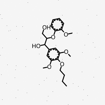 CCCCOc1c(OC)cc(C(O)C(CO)Oc2ccccc2OC)cc1OC